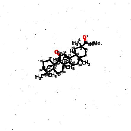 CNC(=O)C1(C)CC[C@]2(C)CC[C@]3(C)C(=CC(=O)[C@@H]4[C@@]5(C)CCCC(C)(C)C5CC[C@]43C)[C@H]2C1